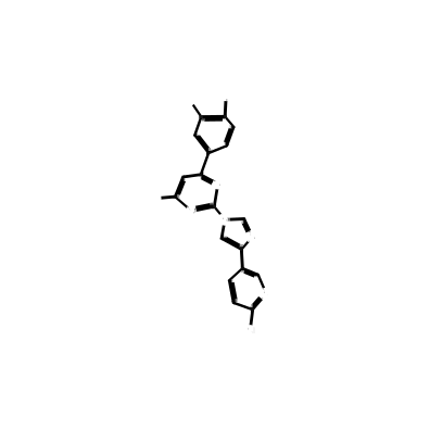 Cc1cc(-c2ccc(Cl)c(C)c2)nc(-n2cnc(-c3ccc(N)nc3)c2)n1